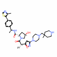 Cc1ncsc1-c1ccc([C@H](C)NC(=O)[C@@H]2C[C@@H](O)CN2C(=O)[C@H](c2cc(N3CCN(CC4(C)CCNCC4)CC3)no2)C(C)C)cc1